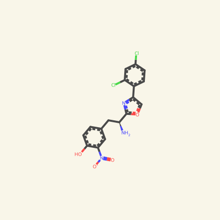 N[C@@H](Cc1ccc(O)c([N+](=O)[O-])c1)c1nc(-c2ccc(Cl)cc2Cl)co1